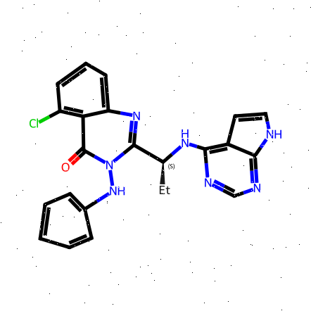 CC[C@H](Nc1ncnc2[nH]ccc12)c1nc2cccc(Cl)c2c(=O)n1Nc1ccccc1